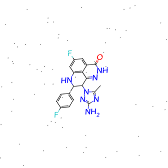 Cc1nc(N)nn1C1c2n[nH]c(=O)c3cc(F)cc(c23)NC1c1ccc(F)cc1